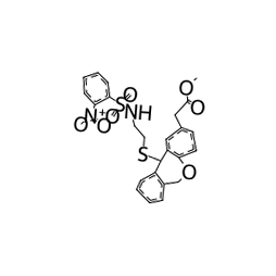 COC(=O)Cc1ccc2c(c1)C(SCCNS(=O)(=O)c1ccccc1[N+](=O)[O-])c1ccccc1CO2